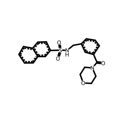 O=C(c1cccc(CNS(=O)(=O)c2ccc3ccccc3c2)c1)N1CCOCC1